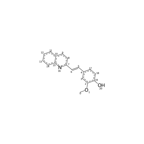 COc1cc(/C=C/c2ccc3ccccc3n2)ccc1O